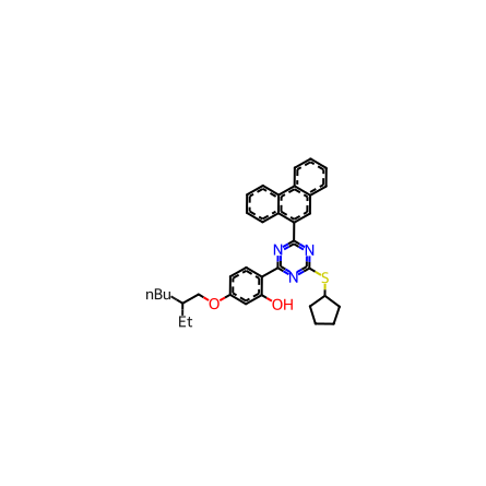 CCCCC(CC)COc1ccc(-c2nc(SC3CCCC3)nc(-c3cc4ccccc4c4ccccc34)n2)c(O)c1